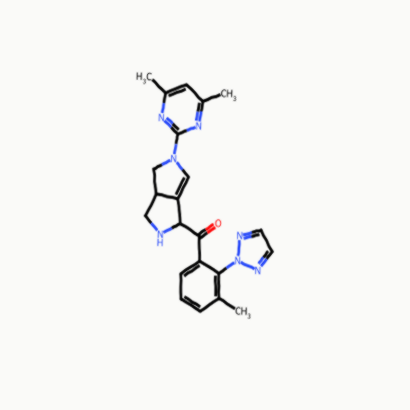 Cc1cc(C)nc(N2C=C3C(CNC3C(=O)c3cccc(C)c3-n3nccn3)C2)n1